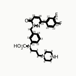 O=C(O)N(CCCN1CCNCC1)c1cccc(Cn2nc(-c3ccc(F)c(F)c3)ccc2=O)c1